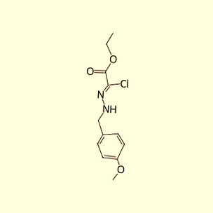 CCOC(=O)C(Cl)=NNCc1ccc(OC)cc1